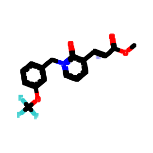 COC(=O)/C=C/c1cccn(Cc2cccc(OC(F)(F)F)c2)c1=O